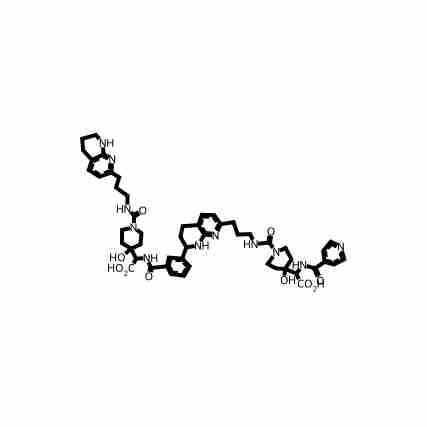 O=C(NC(C(=O)O)C1(O)CCN(C(=O)NCCCc2ccc3c(n2)NCCC3)CC1)c1cccc(C2CCc3ccc(CCCNC(=O)N4CCC(O)(C(NC(=O)c5ccncc5)C(=O)O)CC4)nc3N2)c1